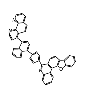 c1cnc2c(c1)ccc1c(-c3ccc(-c4ccc(-c5nc6ccccc6c6c5ccc5c7ccccc7oc56)cc4)c4ccccc34)ccnc12